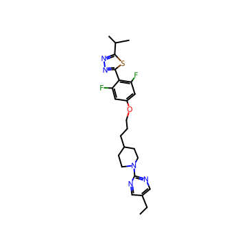 CCc1cnc(N2CCC(CCCOc3cc(F)c(-c4nnc(C(C)C)s4)c(F)c3)CC2)nc1